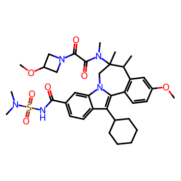 COc1ccc2c(c1)C(C)C(C)(N(C)C(=O)C(=O)N1CC(OC)C1)Cn1c-2c(C2CCCCC2)c2ccc(C(=O)NS(=O)(=O)N(C)C)cc21